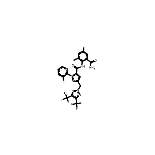 Cc1cc(I)cc(C(N)=O)c1NC(=O)c1cc(Cn2nc(C(F)(F)F)c(C(F)(F)F)n2)nn1-c1ncccc1Cl